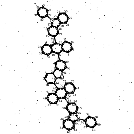 C1=CC2c3cc(-c4c5ccccc5c(-c5ccc6c(c5)c5ccccc5n6-c5ccccc5)c5ccccc45)ccc3OC2C(c2c3ccccc3c(-c3ccc4c(c3)c3ccccc3n4-c3ccccc3)c3ccccc23)=C1